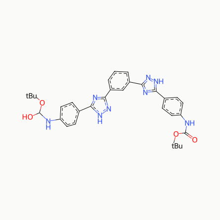 CC(C)(C)OC(=O)Nc1ccc(-c2nc(-c3cccc(-c4n[nH]c(-c5ccc(NC(O)OC(C)(C)C)cc5)n4)c3)n[nH]2)cc1